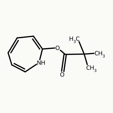 CC(C)(C)C(=O)OC1=CC=CC=CN1